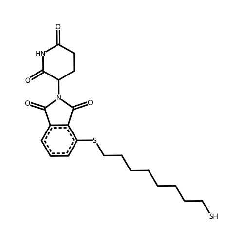 O=C1CCC(N2C(=O)c3cccc(SCCCCCCCCS)c3C2=O)C(=O)N1